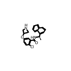 C[C@@H](NC(=O)c1cc(OC2CNC2)ccc1Cl)c1cccc2ccccc12